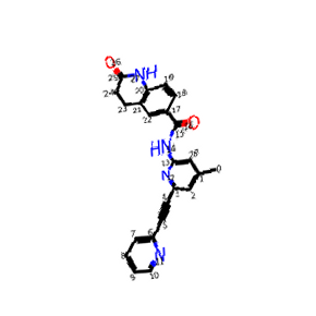 Cc1cc(C#Cc2ccccn2)nc(NC(=O)c2ccc3c(c2)CCC(=O)N3)c1